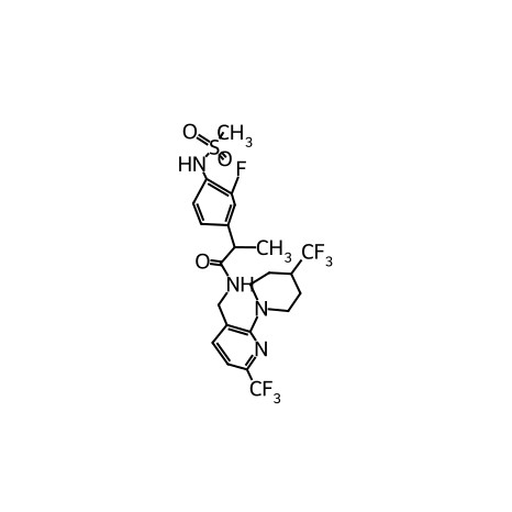 CC(C(=O)NCc1ccc(C(F)(F)F)nc1N1CCC(C(F)(F)F)CC1)c1ccc(NS(C)(=O)=O)c(F)c1